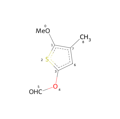 COc1sc(OC=O)cc1C